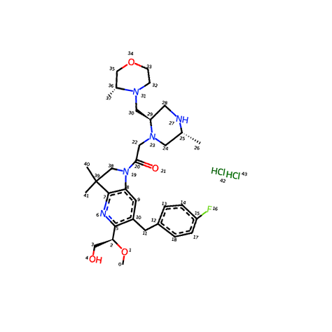 CO[C@@H](CO)c1nc2c(cc1Cc1ccc(F)cc1)N(C(=O)CN1C[C@@H](C)NC[C@@H]1CN1CCOC[C@H]1C)CC2(C)C.Cl.Cl